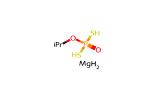 CC(C)OP(=O)(S)S.[MgH2]